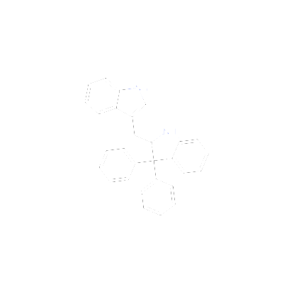 NC(Cc1c[nH]c2ccccc12)C(c1ccccc1)(c1ccccc1)c1ccccc1